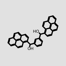 OC(c1cccc(C(O)c2ccc3ccc4cccc5ccc2c3c45)c1)c1ccc2ccc3cccc4ccc1c2c34